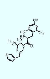 Cc1cc(O)cc(C)c1C[C@H](N)C(=O)N(C/C=C/c1ccsc1)[C@H](C)C(N)=O